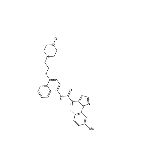 Cc1ccc(C(C)(C)C)cc1-n1nccc1NC(=O)Nc1ccc(OCCN2CC[S+]([O-])CC2)c2ccccc12